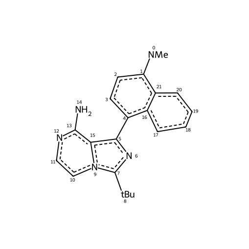 CNc1ccc(-c2nc(C(C)(C)C)n3ccnc(N)c23)c2ccccc12